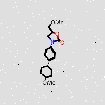 COCC1CN(c2ccc([C@H]3CC[C@H](OC)CC3)cc2)C(=O)O1